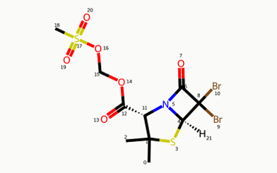 CC1(C)S[C@H]2N(C(=O)C2(Br)Br)[C@H]1C(=O)OCOS(C)(=O)=O